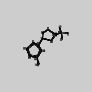 CC(C)(C)N1CCC(c2cccc(F)c2)C1